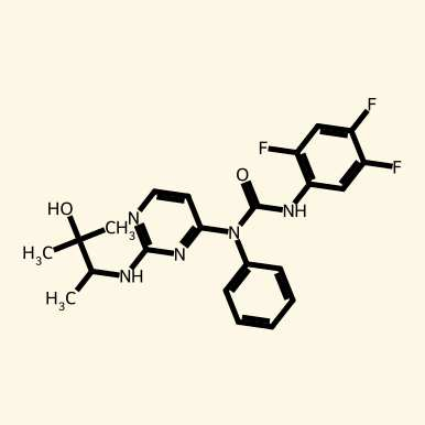 CC(Nc1nccc(N(C(=O)Nc2cc(F)c(F)cc2F)c2ccccc2)n1)C(C)(C)O